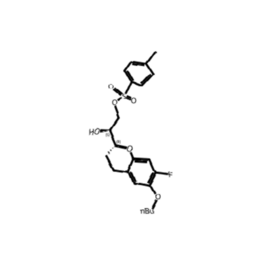 CCCCOc1cc2c(cc1F)O[C@@H]([C@@H](O)COS(=O)(=O)c1ccc(C)cc1)CC2